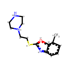 FC(F)(F)c1cccc2nc(SCCN3CCNCC3)oc12